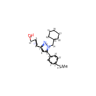 CSc1ccc(-c2cc(/C=C/CO)nn2CC2CCCCC2)cc1